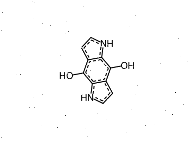 Oc1c2cc[nH]c2c(O)c2cc[nH]c12